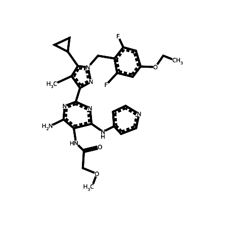 CCOc1cc(F)c(Cn2nc(-c3nc(N)c(NC(=O)COC)c(Nc4ccncc4)n3)c(C)c2C2CC2)c(F)c1